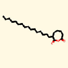 CCCCCCCCCCCCCCCCC1CCCCC(=O)OC1=O